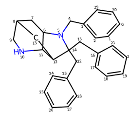 c1ccc(CN2C3CC4CNC3C(C4)C2(Cc2ccccc2)Cc2ccccc2)cc1